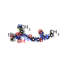 Cc1cccc(-c2ccn(-c3cc(N4CCOCC4)nc(OC4CCN(c5ccc(NC(=O)CCCC[C@H](NC(=O)[C@@H]6C[C@@H](O)CN6C(=O)[C@@H](NC(=O)C6(F)CC6)C(C)(C)C)c6ccc(-c7scnc7C)cc6)cc5)CC4)n3)n2)c1